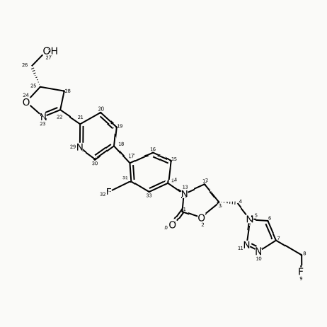 O=C1O[C@@H](Cn2cc(CF)nn2)CN1c1ccc(-c2ccc(C3=NO[C@H](CO)C3)nc2)c(F)c1